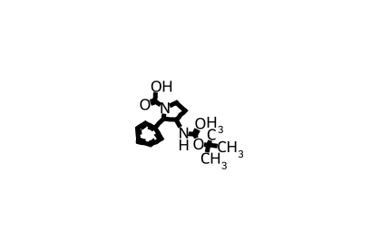 CC(C)(C)OC(=O)NC1CCN(C(=O)O)C1c1ccccc1